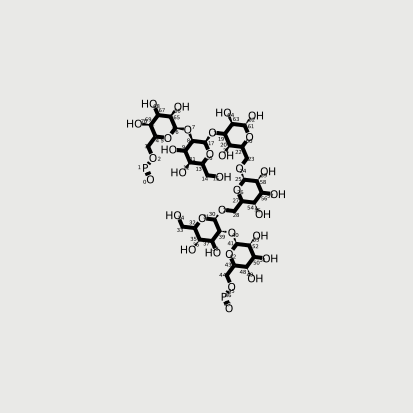 O=POCC1O[C@H](O[C@@H]2C(O)[C@H](O)C(CO)O[C@@H]2OC2[C@H](O)C(CO[C@H]3OC(CO[C@H]4OC(CO)[C@@H](O)C(O)[C@H]4O[C@H]4OC(COP=O)[C@@H](O)C(O)[C@H]4O)[C@@H](O)C(O)[C@H]3O)O[C@@H](O)[C@@H]2O)[C@H](O)C(O)[C@@H]1O